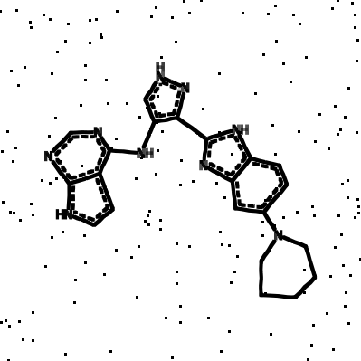 c1nc(Nc2c[nH]nc2-c2nc3cc(N4CCCCC4)ccc3[nH]2)c2cc[nH]c2n1